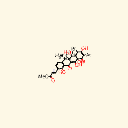 COC(=O)/C=C/c1ccc2c(c1O)C(=O)C1=C(O)[C@@]3(O)C(=O)C(C(C)=O)=C(O)C(C(C)C)[C@@]3(C)[C@H](O)[C@@]1(C)[C@@H]2C